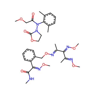 CNC(=O)/C(=N/OC)c1ccccc1CO/N=C(C)/C(=N/OC)C(/C)=N/OC.COCC(=O)N(c1c(C)cccc1C)N1CCOC1=O